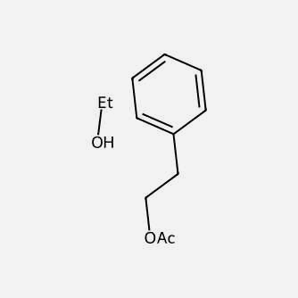 CC(=O)OCCc1ccccc1.CCO